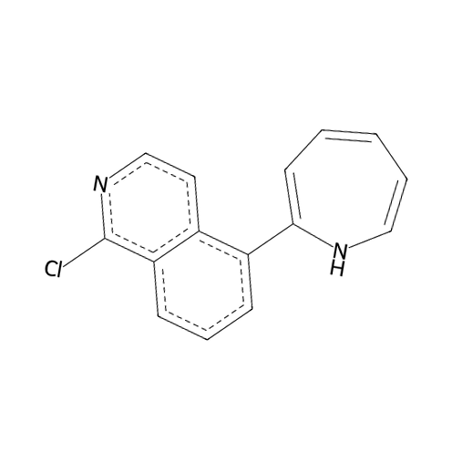 Clc1nccc2c(C3=CC=CC=CN3)cccc12